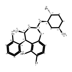 CCCC1=C2C(=C=C=C1CC)OP(O[C@@H]1C[C@H](C)CC[C@H]1C(C)C)O[C@H](C)[C@@H]2C1=C=C=C=C=C1CC